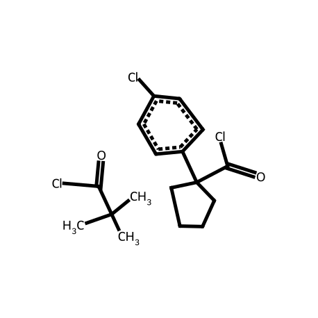 CC(C)(C)C(=O)Cl.O=C(Cl)C1(c2ccc(Cl)cc2)CCCC1